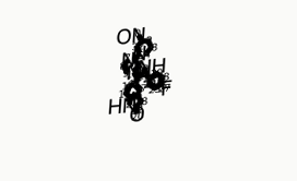 O=NC1CCCN(C2=NC=CN3C(c4ccc5c(c4)CC(=O)N5)=C(c4ccc(F)cc4)NC23)C1